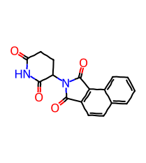 O=C1CCC(N2C(=O)c3ccc4ccccc4c3C2=O)C(=O)N1